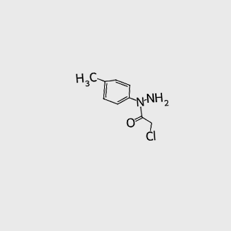 Cc1ccc(N(N)C(=O)CCl)cc1